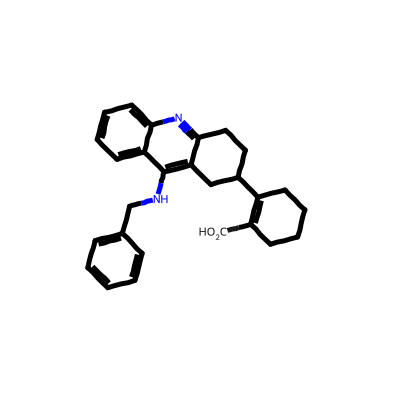 O=C(O)C1=C(C2CCc3nc4ccccc4c(NCc4ccccc4)c3C2)CCCC1